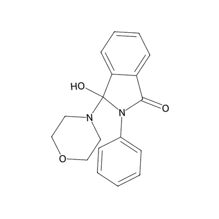 O=C1c2ccccc2C(O)(N2CCOCC2)N1c1ccccc1